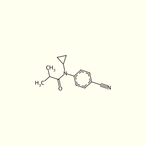 CC(C)C(=O)N(c1ccc(C#N)cc1)C1CC1